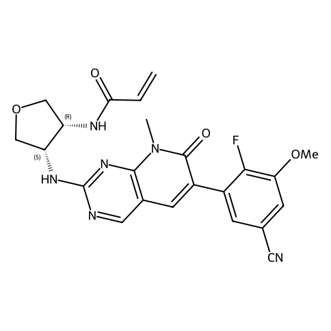 C=CC(=O)N[C@H]1COC[C@H]1Nc1ncc2cc(-c3cc(C#N)cc(OC)c3F)c(=O)n(C)c2n1